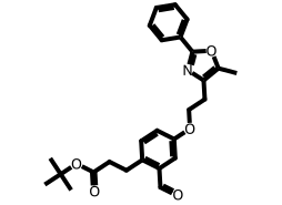 Cc1oc(-c2ccccc2)nc1CCOc1ccc(CCC(=O)OC(C)(C)C)c(C=O)c1